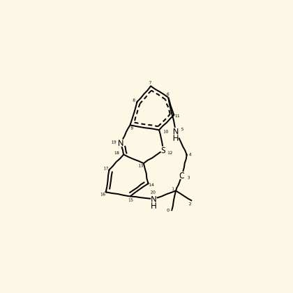 CC1(C)CCNc2ccc3c(c2)SC2C=C(C=CC2=N3)N1